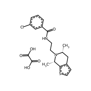 C[C@@H]1Cc2ccsc2[C@H](C)N1CCNC(=O)c1cccc(Cl)c1.O=C(O)C(=O)O